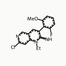 CCn1c(=N)c(-c2c(F)cccc2OC)cc2cnc(Cl)cc21